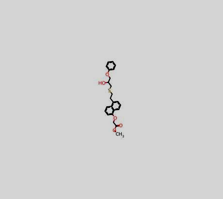 COC(=O)COc1cccc2c(CCSCC(O)COc3ccccc3)cccc12